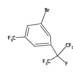 FC(F)(F)c1cc(Br)cc(C(F)(C(F)(F)F)C(F)(F)F)c1